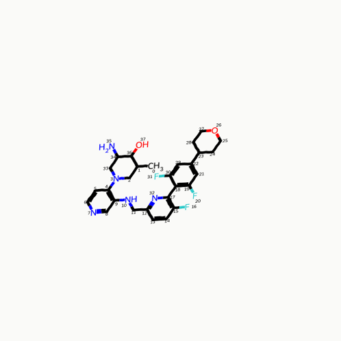 CC1CN(c2ccncc2NCc2ccc(F)c(-c3c(F)cc(C4CCOCC4)cc3F)n2)CC(N)C1O